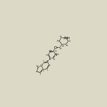 C1=CC2=CCSC2C=C1c1cnc(OCC2CCNCC2)nc1